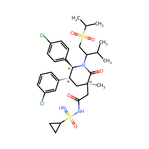 CC(C)C(CS(=O)(=O)C(C)C)N1C(=O)[C@@](C)(CC(=O)NS(=N)(=O)C2CC2)C[C@H](c2cccc(Cl)c2)[C@H]1c1ccc(Cl)cc1